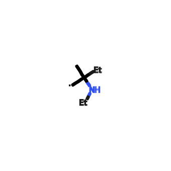 [CH2]C(C)(CC)NCC